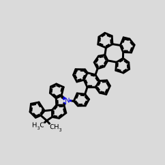 CC1(C)c2ccccc2-c2c1ccc1c2c2ccccc2n1-c1cccc(-c2c3ccccc3c(-c3ccc4c(c3)-c3ccccc3-c3ccccc3-c3ccccc3-4)c3ccccc23)c1